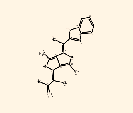 C=C(S)/C(C#N)=c1\[nH]c(C)c2/c(=C(\C#N)c3nc4ccccc4s3)[nH]c(C(C)C)c12